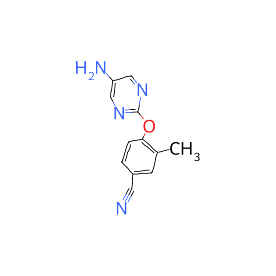 Cc1cc(C#N)ccc1Oc1ncc(N)cn1